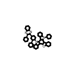 c1ccc(-c2cc(-c3nc4ccccc4nc3-c3ccccc3)ccc2-n2c3ccccc3c3c4oc5ccccc5c4c4c(c5ccccc5n4-c4ccccc4)c32)cc1